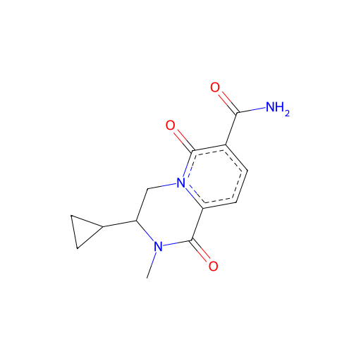 CN1C(=O)c2ccc(C(N)=O)c(=O)n2CC1C1CC1